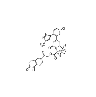 O=C1CCc2cc(C(=O)COC(=O)[C@@H]3[C@H]4CC[C@H]4c4cc(-c5cc(Cl)ccc5-n5cc(C(F)(F)F)nn5)cc(=O)n43)ccc2N1